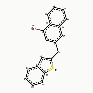 Brc1cc(Cc2cc3ccccc3s2)cc2ccccc12